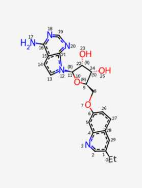 CCc1cnc2cc(OC[C@H]3O[C@@H](n4ccc5c(N)ncnc54)[C@H](O)[C@@H]3O)ccc2c1